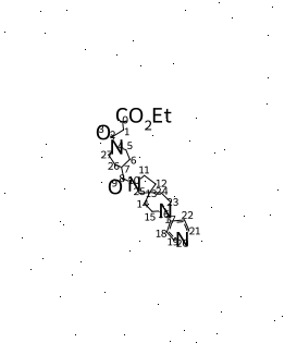 CCOC(=O)CC(=O)N1CCC(C(=O)N2CCC3(CCN(c4ccncc4)CC3)C2)CC1